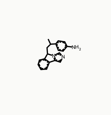 CC(CC1c2ccccc2-c2cncn21)c1ccc(N)cc1